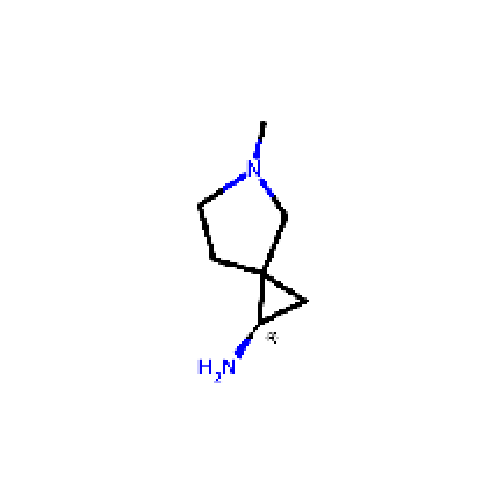 CN1CCC2(C[C@H]2N)C1